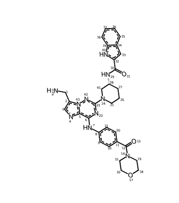 NCc1cnc2c(Nc3ccc(C(=O)N4CCOCC4)cc3)nc(N3CCC[C@@H](NC(=O)c4cc5ccccc5[nH]4)C3)nn12